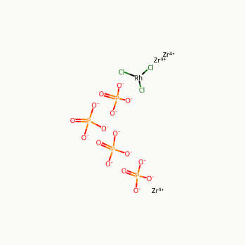 O=P([O-])([O-])[O-].O=P([O-])([O-])[O-].O=P([O-])([O-])[O-].O=P([O-])([O-])[O-].[Cl][Rh]([Cl])[Cl].[Zr+4].[Zr+4].[Zr+4]